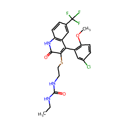 CCNC(=O)NCCSc1c(-c2cc(Cl)ccc2OC)c2cc(C(F)(F)F)ccc2[nH]c1=O